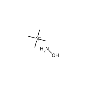 C[N+](C)(C)C.NO